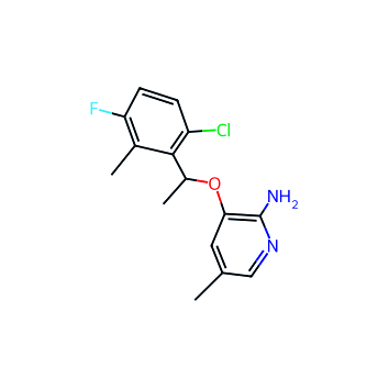 Cc1cnc(N)c(OC(C)c2c(Cl)ccc(F)c2C)c1